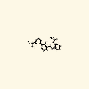 CC(N)c1cccc(-c2cccc(COc3ccccc3CC(=O)O)c2F)c1